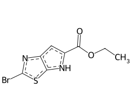 CCOC(=O)c1cc2nc(Br)sc2[nH]1